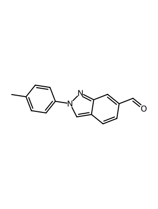 Cc1ccc(-n2cc3ccc(C=O)cc3n2)cc1